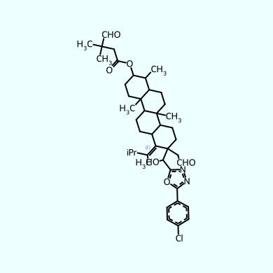 C/C(=C1/C2CCC3C(C)(CCC4C(C)C(OC(=O)CC(C)(C)C=O)CCC43C)C2CCC1(CC=O)C(O)c1nnc(-c2ccc(Cl)cc2)o1)C(C)C